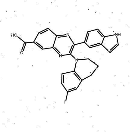 O=C(O)c1ccc2nc(-c3ccc4[nH]ccc4c3)c(N3CCCc4cc(F)ccc43)nc2c1